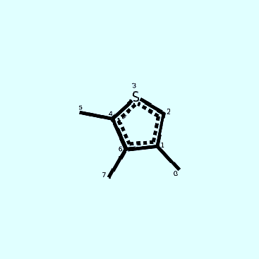 Cc1csc(C)c1C